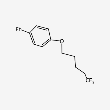 CCc1ccc(OCCCCC(F)(F)F)cc1